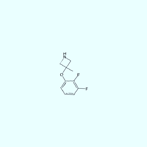 CC1(Oc2cccc(F)c2F)CNC1